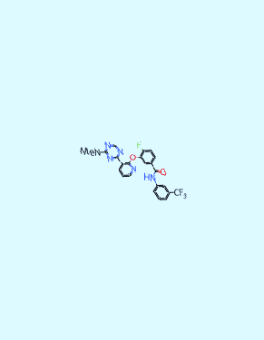 CNc1ncnc(-c2cccnc2Oc2cc(C(=O)Nc3cccc(C(F)(F)F)c3)ccc2F)n1